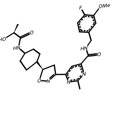 COc1cc(CNC(=O)c2cc(C3=NO[C@@H](C4CCC(NC(=O)[C@H](C)O)CC4)C3)nc(C)n2)ccc1F